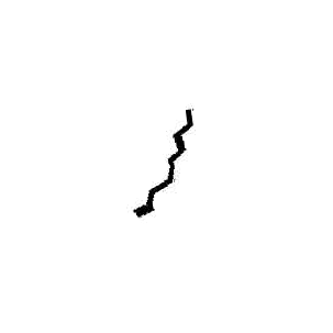 [CH2]CC=CC[CH]CC=C